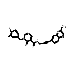 Nc1cnc2ccc(C#CCNC(=O)c3cncn(Cc4ccc(F)c(F)c4)c3=O)cc2n1